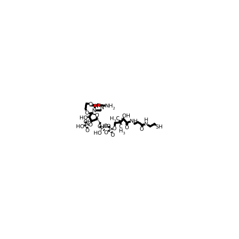 CC(C)(COP(=O)(O)OP(=O)(O)OC[C@H]1O[C@]2(OCCOC34N=CN=C(N)C3=NCN42)[C@H](O)[C@@H]1OP(=O)(O)O)[C@@H](O)C(=O)NCCC(=O)NCCS